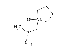 CP(C)C[N+]1([O-])CCCC1